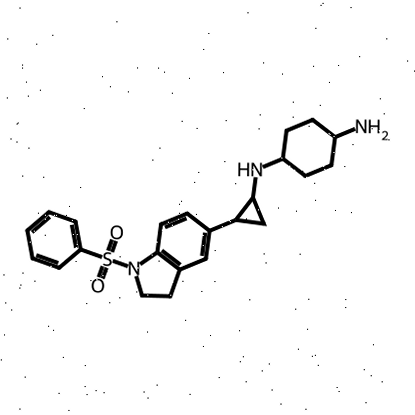 NC1CCC(NC2CC2c2ccc3c(c2)CCN3S(=O)(=O)c2ccccc2)CC1